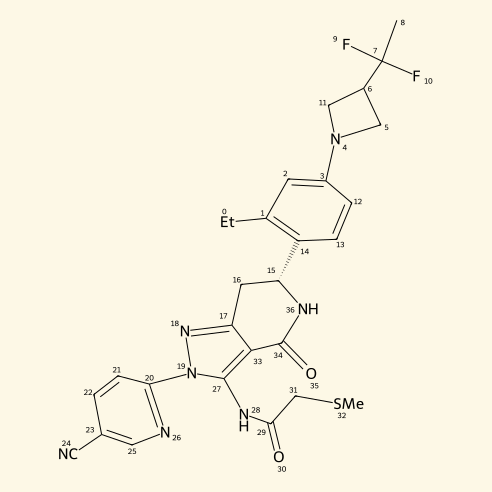 CCc1cc(N2CC(C(C)(F)F)C2)ccc1[C@H]1Cc2nn(-c3ccc(C#N)cn3)c(NC(=O)CSC)c2C(=O)N1